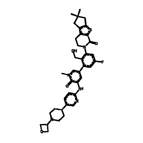 Cn1cc(-c2cc(F)cc(N3CCc4c(sc5c4CC(C)(C)C5)C3=O)c2CO)cc(Nc2ccc(C3CCN(C4COC4)CC3)cn2)c1=O